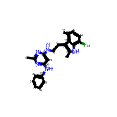 Cc1nc(NCCc2c(C)[nH]c3c(F)ccc(C)c23)cc(Nc2ccccc2)n1